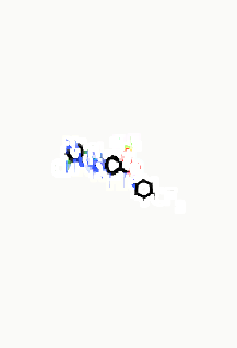 O=C(N[C@H]1CC[C@H](C(F)(F)F)CC1)c1cc2nc(Nc3c(Cl)cncc3Cl)[nH]c2cc1OC(F)F